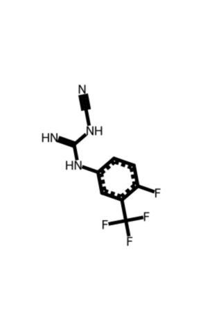 N#CNC(=N)Nc1ccc(F)c(C(F)(F)F)c1